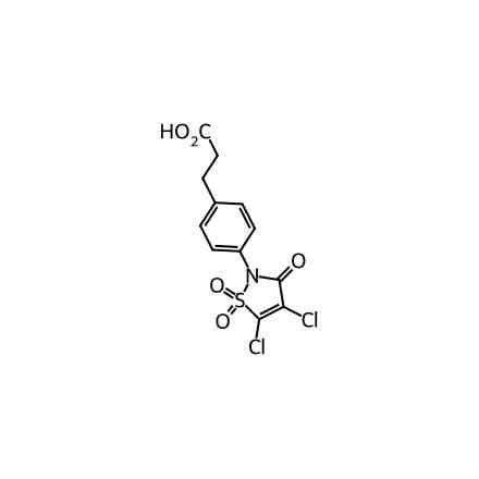 O=C(O)CCc1ccc(N2C(=O)C(Cl)=C(Cl)S2(=O)=O)cc1